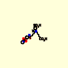 CC1(C)/C(=C\C=C\c2nc3ccc(S(=O)(=O)N4CCCCC4)cc3s2)N(CCCCCC(=O)O)c2ccc(S(=O)(=O)O)cc21